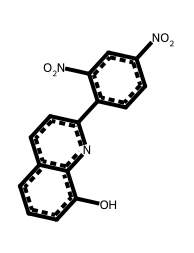 O=[N+]([O-])c1ccc(-c2ccc3cccc(O)c3n2)c([N+](=O)[O-])c1